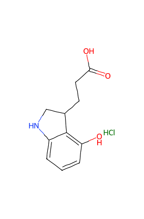 Cl.O=C(O)CCC1CNc2cccc(O)c21